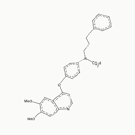 COc1cc2nccc(Oc3ccc(N(CCCc4ccccc4)C(=O)O)cc3)c2cc1OC